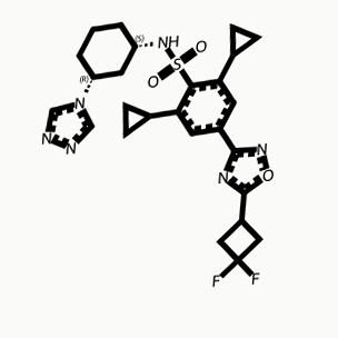 O=S(=O)(N[C@H]1CCC[C@@H](n2cnnc2)C1)c1c(C2CC2)cc(-c2noc(C3CC(F)(F)C3)n2)cc1C1CC1